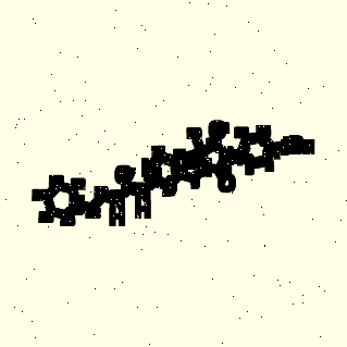 CC(C)(C)c1ccc(N2C(=O)N(Cc3ccnc(NC(=O)NCCN4CCCCC4)c3)C(C)(C)C2=O)cc1